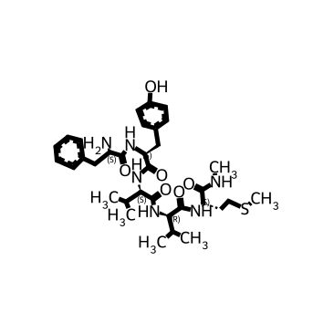 CNC(=O)[C@H](CCSC)NC(=O)[C@H](NC(=O)[C@@H](NC(=O)[C@H](Cc1ccc(O)cc1)NC(=O)[C@@H](N)Cc1ccccc1)C(C)C)C(C)C